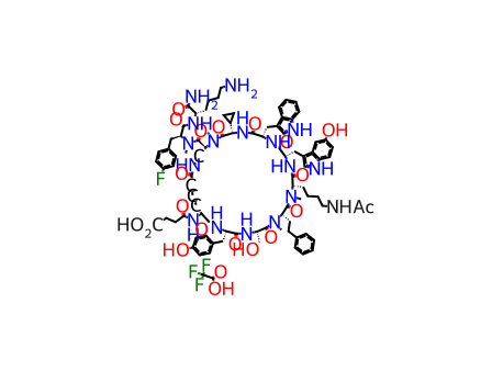 CC(=O)NCCCC[C@H]1C(=O)N[C@@H](Cc2c[nH]c3ccc(O)cc23)C(=O)N[C@@H](Cc2c[nH]c3ccccc23)C(=O)N[C@@H](C2CC2)C(=O)N(C)[C@H](C(=O)N(C)[C@@H](Cc2ccc(F)cc2)C(=O)N[C@@H](CCCCN)C(N)=O)CNC(=O)CCC[C@H](NC(=O)CCC(=O)O)C(=O)N[C@@H](Cc2ccc(O)cc2)C(=O)N[C@@H](CO)C(=O)N(C)[C@@H](CCc2ccccc2)C(=O)N1C.O=C(O)C(F)(F)F